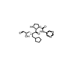 O=CN(O)C[C@@H](CC1CCCC1)C(=O)N1NCC[C@H]1C(=O)Nc1cncnc1